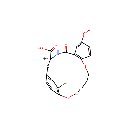 COc1ccc2c(c1)C(=O)N[C@H](C(=O)O)Cc1ccc(c(Cl)c1)OCCCCO2